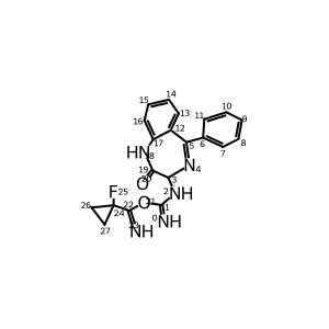 N=C(NC1N=C(c2ccccc2)c2ccccc2NC1=O)OC(=N)C1(F)CC1